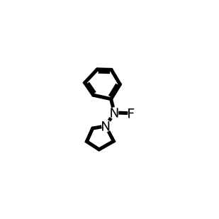 FN(c1ccccc1)N1CCCC1